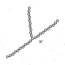 [K+].c1ccc(COCCOCCOCCOCCOCCOCCOCCOCCOCc2cc(COCCOCCOCCOCCOCCOCCOCCOCCOCc3ccccc3)cc(COCCOCCOCCOCCOCCOCCOCCOCCOCc3ccccc3)c2)cc1